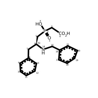 O=C(O)CP(=O)(O)C[C@H](Cc1ccccc1)NCc1ccccc1